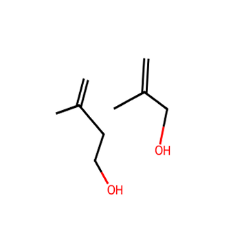 C=C(C)CCO.C=C(C)CO